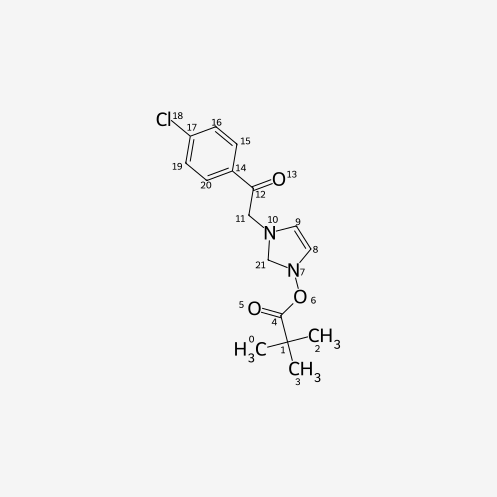 CC(C)(C)C(=O)ON1C=CN(CC(=O)c2ccc(Cl)cc2)C1